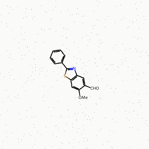 COc1cc2sc(-c3ccccc3)nc2cc1C=O